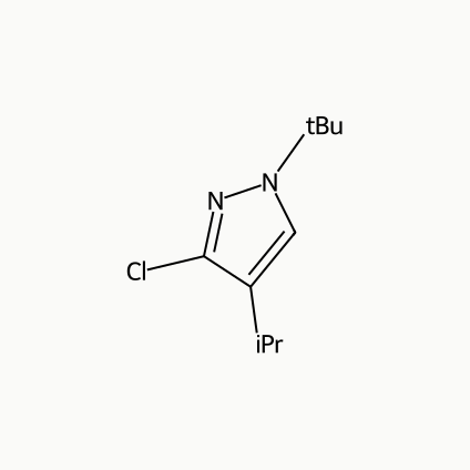 CC(C)c1cn(C(C)(C)C)nc1Cl